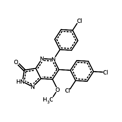 COc1c2n[nH]c(=O)c-2nn(-c2ccc(Cl)cc2)c1-c1ccc(Cl)cc1Cl